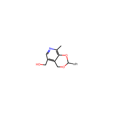 CCCC1OCc2c(CO)cnc(C)c2O1